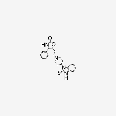 O=C1NC(c2ccccc2)C(CCN2CCC(n3c(=S)[nH]c4ccccc43)CC2)O1